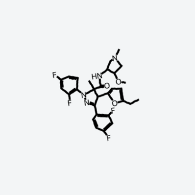 CCc1ccc(C2C(c3ccc(F)cc3F)=NN(c3ccc(F)cc3F)C2(C)C(=O)NC2CN(C)CC2OC)o1